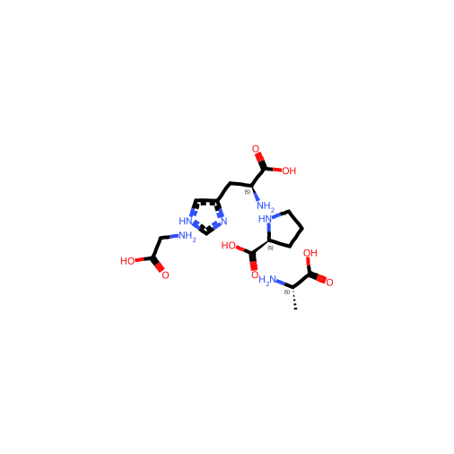 C[C@H](N)C(=O)O.NCC(=O)O.N[C@@H](Cc1c[nH]cn1)C(=O)O.O=C(O)[C@@H]1CCCN1